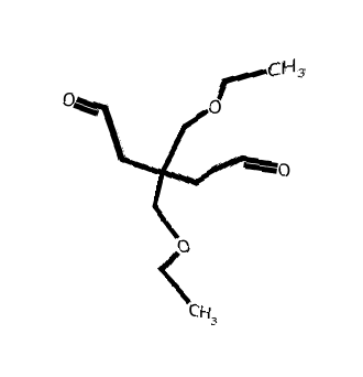 CCOCC(CC=O)(CC=O)COCC